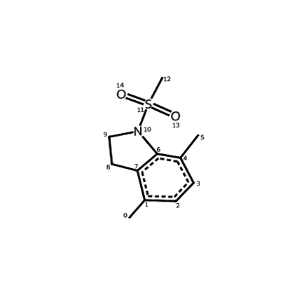 Cc1ccc(C)c2c1CCN2S(C)(=O)=O